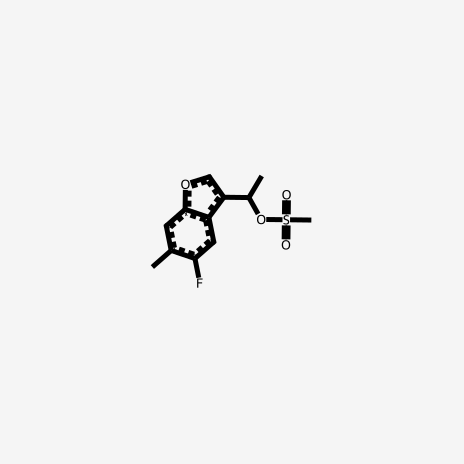 Cc1cc2occ(C(C)OS(C)(=O)=O)c2cc1F